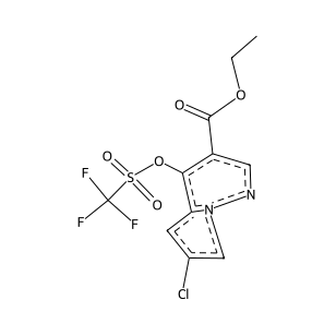 CCOC(=O)c1cnn2cc(Cl)cc2c1OS(=O)(=O)C(F)(F)F